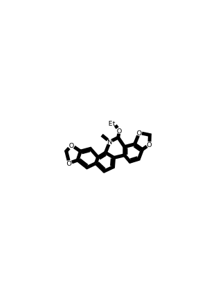 CCOC1c2c(ccc3c2OCO3)-c2ccc3cc4c(cc3c2N1C)OCO4